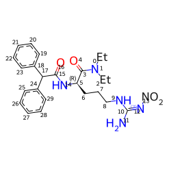 CCN(CC)C(=O)[C@@H](CCCN/C(N)=N\[N+](=O)[O-])NC(=O)C(c1ccccc1)c1ccccc1